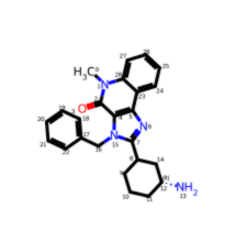 Cn1c(=O)c2c(nc(C3CCC[C@@H](N)C3)n2Cc2ccccc2)c2ccccc21